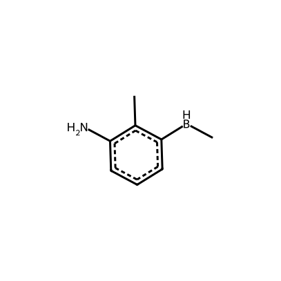 CBc1cccc(N)c1C